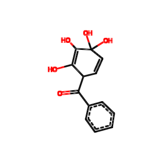 O=C(c1ccccc1)C1C=CC(O)(O)C(O)=C1O